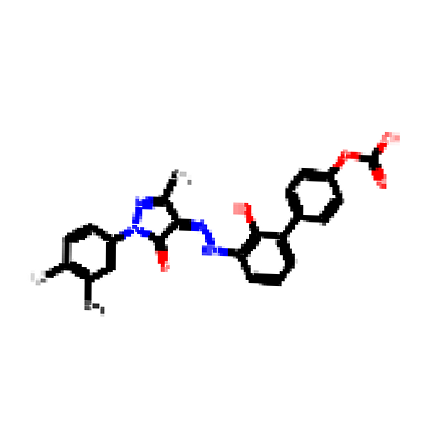 CC1=NN(c2ccc(C)c(C)c2)C(=O)C1=NNc1cccc(-c2ccc(OC(=O)O)cc2)c1O